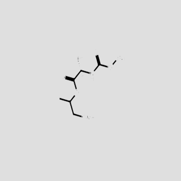 COCC(C)OC(=O)[C@@H](NC(=O)OC(C)(C)C)C(C)C